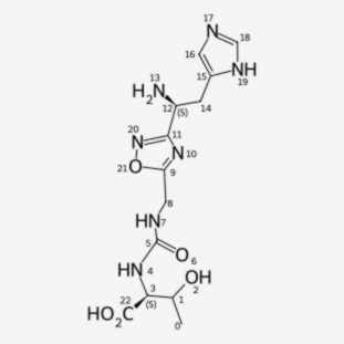 CC(O)[C@H](NC(=O)NCc1nc([C@@H](N)Cc2cnc[nH]2)no1)C(=O)O